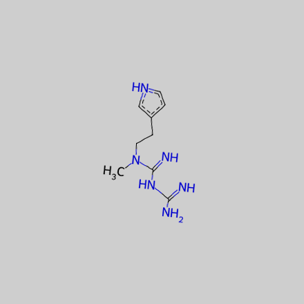 CN(CCc1cc[nH]c1)C(=N)NC(=N)N